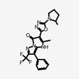 Cc1[nH]c2c(-c3ccccc3)c(C(F)(F)F)nn2c(=O)c1-c1nnc(N2CCCC2C)o1